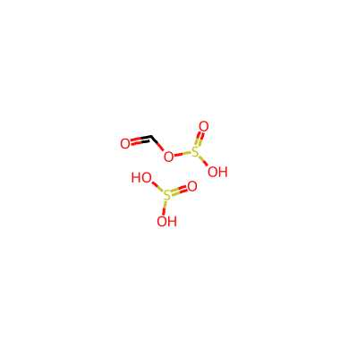 O=COS(=O)O.O=S(O)O